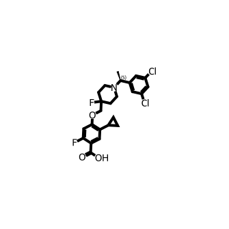 C[C@@H](c1cc(Cl)cc(Cl)c1)N1CCC(F)(COc2cc(F)c(C(=O)O)cc2C2CC2)CC1